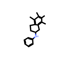 Cc1c(C)c(C)c2c(c1C)CCC(Nc1ccccc1)C2